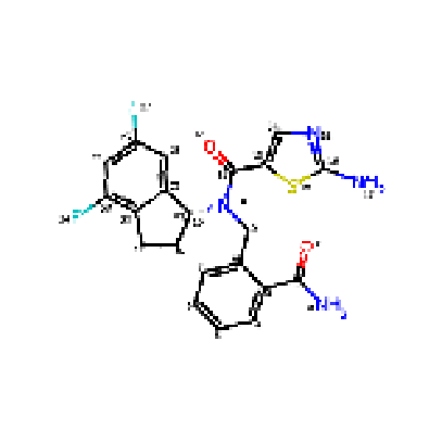 NC(=O)c1ccccc1CN(C(=O)c1cnc(N)s1)[C@@H]1CCc2c(F)cc(F)cc21